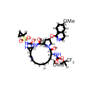 COC[C@@H]1C[C@H](C)CC/C=C\C2C[C@@]2(C(=O)NS(=O)(=O)C2(C)CC2)NC(=O)[C@@H]2C[C@@H](Oc3nccc4cc(OC)ccc34)CN2C(=O)[C@H]1NC(=O)OC(C)(C)C(F)(F)F